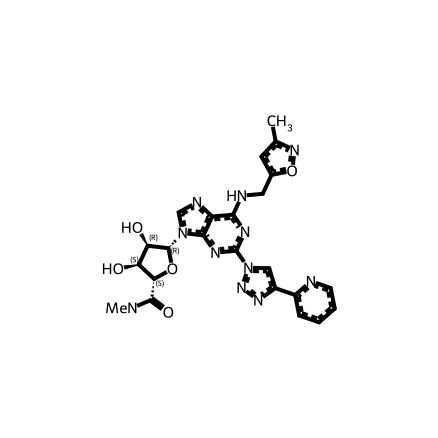 CNC(=O)[C@H]1O[C@@H](n2cnc3c(NCc4cc(C)no4)nc(-n4cc(-c5ccccn5)nn4)nc32)[C@H](O)[C@@H]1O